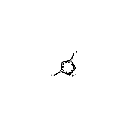 CCn1cc[n+](CC)c1.Cl